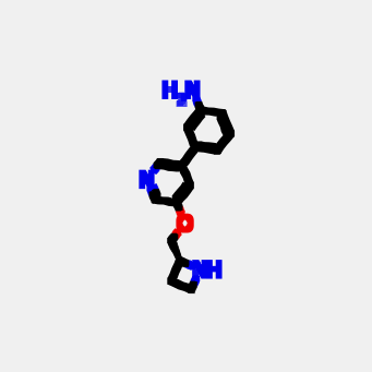 Nc1cccc(-c2cncc(OC[C@@H]3CCN3)c2)c1